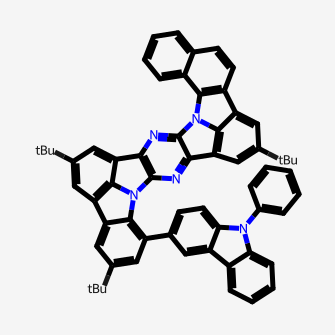 CC(C)(C)c1cc(-c2ccc3c(c2)c2ccccc2n3-c2ccccc2)c2c(c1)c1cc(C(C)(C)C)cc3c4nc5c(nc4n2c13)c1cc(C(C)(C)C)cc2c3ccc4ccccc4c3n5c21